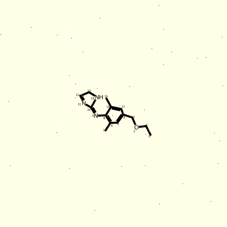 CCOCc1cc(C)c(N=C2N=CCN2)c(C)c1